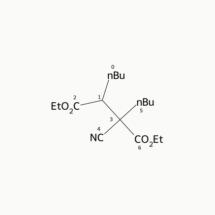 CCCCC(C(=O)OCC)C(C#N)(CCCC)C(=O)OCC